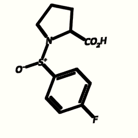 O=C(O)C1CCCN1[S+]([O-])c1ccc(F)cc1